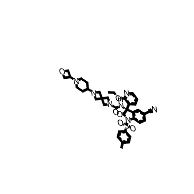 CCOc1ncccc1[C@@]1(NC(=O)N2CC3(C2)CN(C2CCN(C4COC4)CC2)C3)C(=O)N(S(=O)(=O)c2ccc(C)cc2)c2ccc(C#N)cc21